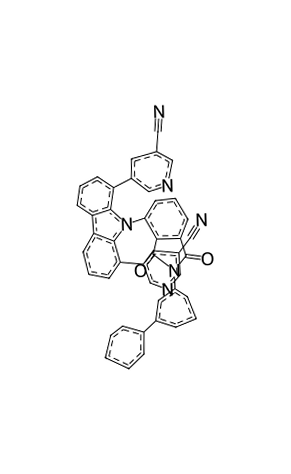 N#Cc1cncc(-c2cccc3c4cccc(-c5cncc(C#N)c5)c4n(-c4cccc5c4C(=O)N(c4cccc(-c6ccccc6)c4)C5=O)c23)c1